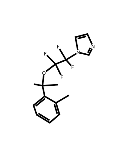 Cc1ccccc1C(C)(C)OC(F)(F)C(F)(F)n1ccnc1